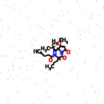 C#CCCC(=O)N[C@H](CCC)C(=O)N1C(=O)C=C(OC)[C@@H]1CC(C)C